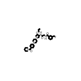 C=CCO[C@H]1CN(C2CCN(c3ccc(C(=O)N4CCCCC4)cc3)CC2)C[C@@H]1NC(=O)CNC(=O)c1cccc(CF)c1